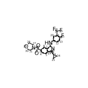 O=S(=O)(c1ccc2c(c1)c(Nc1ccc(F)c(C(F)F)c1)nn2C1CC1)N1CCOCC1